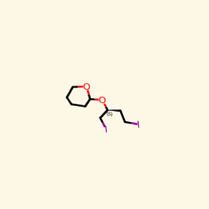 ICC[C@@H](CI)OC1CCCCO1